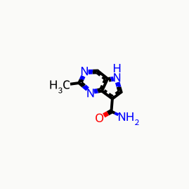 Cc1ncc2[nH]cc(C(N)=O)c2n1